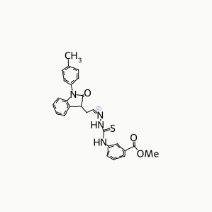 COC(=O)c1cccc(NC(=S)N/N=C\CC2C(=O)N(c3ccc(C)cc3)c3ccccc32)c1